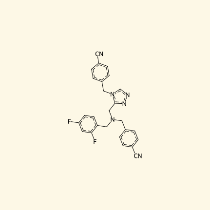 N#Cc1ccc(CN(Cc2ccc(F)cc2F)Cc2nncn2Cc2ccc(C#N)cc2)cc1